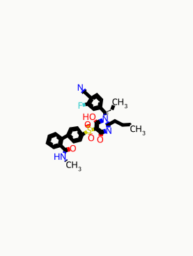 CCCCc1nc(=O)c(S(=O)(=O)c2ccc(-c3ccccc3C(=O)NC)cc2)c(O)n1[C@@H](CC)c1ccc(C#N)c(F)c1